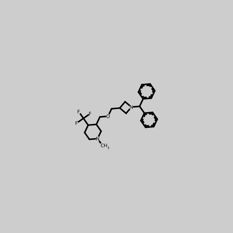 CN1CCC(C(F)(F)F)C(COCC2CN(C(c3ccccc3)c3ccccc3)C2)C1